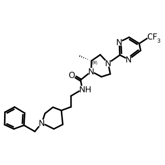 C[C@@H]1CN(c2ncc(C(F)(F)F)cn2)CCN1C(=O)NCCC1CCN(Cc2ccccc2)CC1